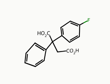 O=C(O)CC(C(=O)O)(c1ccccc1)c1ccc(F)cc1